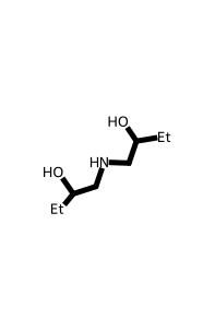 CCC(O)CNCC(O)CC